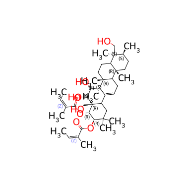 C/C=C(/C)C(=O)O[C@H]1[C@H](OC(=O)/C(C)=C\C)[C@@]2(CO)C(CC1(C)C)C1=CCC3[C@@]4(C)CC[C@H](C)[C@](C)(CO)C4CC[C@@]3(C)[C@]1(C)[C@@H](O)[C@H]2O